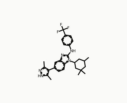 Cc1n[nH]c(C)c1-c1ccc2c(c1)nc(Nc1ccc(C(F)(F)F)cc1)n2C1CC(C)CC(C)(C)C1